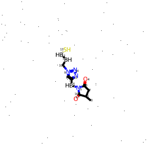 CC1CC(=O)N(Bc2cn(CBBS)nn2)C1=O